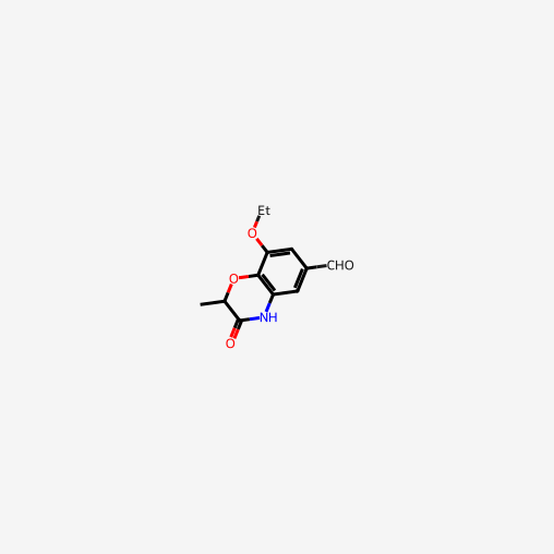 CCOc1cc(C=O)cc2c1OC(C)C(=O)N2